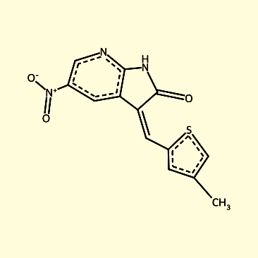 Cc1csc(C=C2C(=O)Nc3ncc([N+](=O)[O-])cc32)c1